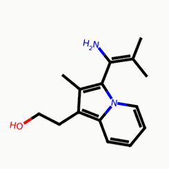 CC(C)=C(N)c1c(C)c(CCO)c2ccccn12